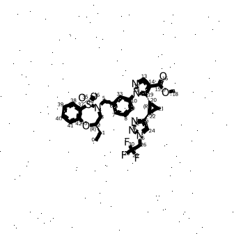 CC[C@@H]1CN(Cc2cccc(-n3ncc(C(=O)OC)c3[C@@H]3C[C@H]3c3cn(CC(F)(F)F)nn3)c2)S(=O)(=O)c2ccccc2O1